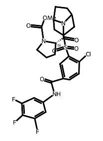 COC(=O)N1CCC[C@H]1C(=O)N1C2CCC1CC(S(=O)(=O)c1cc(C(=O)Nc3cc(F)c(F)c(F)c3)ccc1Cl)C2